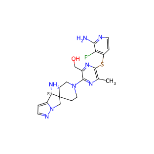 Cc1nc(N2CCC3(CC2)Cn2nccc2[C@@H]3N)c(CO)nc1Sc1ccnc(N)c1F